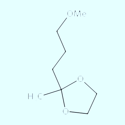 COCCCC1(C)OCCO1